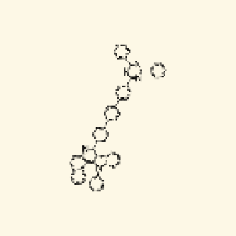 c1ccc(-c2nc(-c3ccccc3)nc(-c3ccc(-c4ccc(-c5ccc(-c6nc7ccc8ccccc8c7c7c6c6ccccc6n7-c6ccccc6)cc5)cc4)cc3)n2)cc1